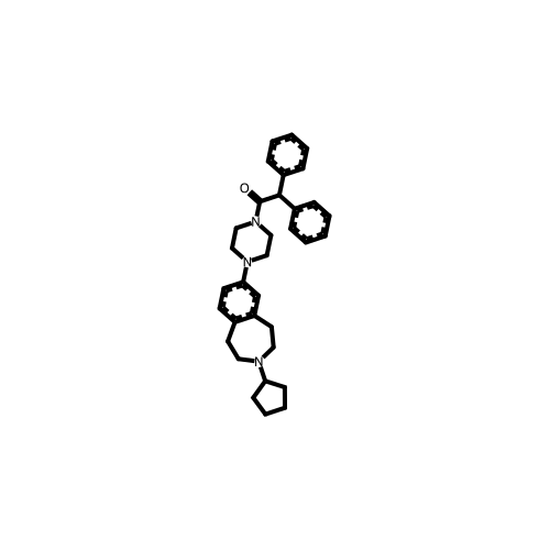 O=C(C(c1ccccc1)c1ccccc1)N1CCN(c2ccc3c(c2)CCN(C2CCCC2)CC3)CC1